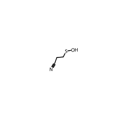 N#CCCSO